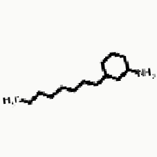 CCCCCCCCC1CCCC(N)C1